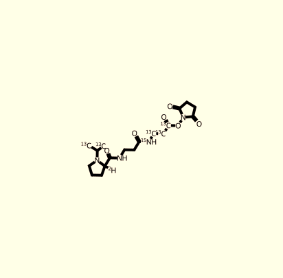 [2H]C1(C(=O)NCCC(=O)[15NH][13CH2][13CH2][13C](=O)ON2C(=O)CCC2=O)CCCN1C([13CH3])[13CH3]